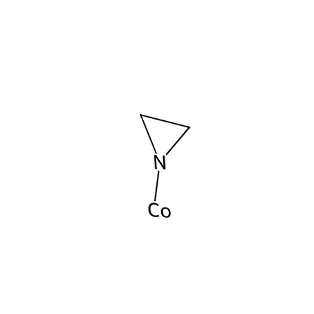 [Co][N]1CC1